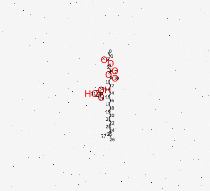 C=CC(=O)OCC(=O)OC(=O)CCCCCCCCCCCCCCC(C)C.[O]=[Zr]([OH])[OH]